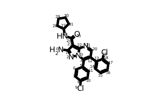 Nc1nn2c(-c3ccc(Cl)cc3)c(-c3ccccc3Cl)cnc2c1C(=O)NC1CCCC1